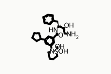 NC[C@@H](O)[C@H](Cc1ccccc1)NC(=O)c1cc(C2CCCC2)cc(N2CCCCS2(O)O)c1